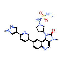 Cn1cc(-c2ccc(-c3ccc4ncc5c(c4c3)n(C3CCN(NS(N)(=O)=O)C3)c(=O)n5C)cn2)cn1